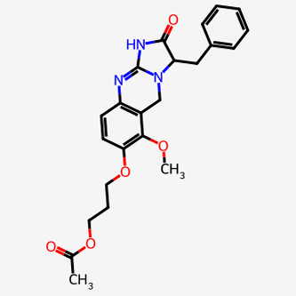 COc1c(OCCCOC(C)=O)ccc2c1CN1C(=N2)NC(=O)C1Cc1ccccc1